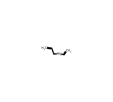 C=C[CH2][Mg][CH]=C